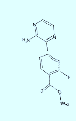 CC(C)(C)OC(=O)c1ccc(-c2nccnc2N)cc1F